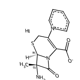 C[C@]1(N)C(=O)N2C(C(=O)[O-])=C([n+]3ccccc3)CS[C@@H]21.I